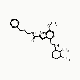 COc1ccc(CNC2CCCC(C)C2C)c2cc(C(=O)NCCCc3ccccc3)oc12